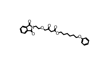 O=C(COCCN1C(=O)c2ccccc2C1=O)CC(=O)OCCCCCCOc1ccccc1